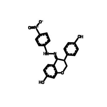 O=[N+]([O-])c1ccc(NN=C2c3ccc(O)cc3OCC2c2ccc(O)cc2)cc1